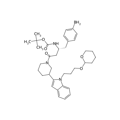 Bc1ccc(C[C@H](CC(=O)N2CCCC(c3cc4ccccc4n3CCCOC3CCCCO3)C2)NC(=O)OC(C)(C)C)cc1